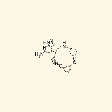 Nc1cc(C2CCNC3CCC(CC3)COc3cccc(c3)Cn3cc2cn3)c2nn[nH]c2n1